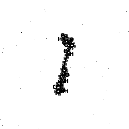 O=C(COc1cccc2c1C(=O)N(C1CCC(=O)NC1=O)C2=O)NCCCCCCCN1CCC(C(=O)N2CCCC(Nc3ncc(Cl)c(-c4c[nH]c5ccccc45)n3)C2)CC1